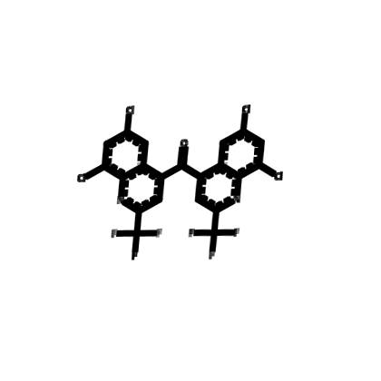 O=C(c1cc(C(F)(F)F)nc2c(Cl)cc(Cl)cc12)c1cc(C(F)(F)F)nc2c(Cl)cc(Cl)cc12